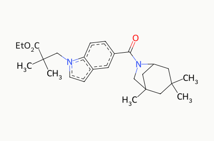 CCOC(=O)C(C)(C)Cn1ccc2cc(C(=O)N3CC4(C)CC3CC(C)(C)C4)ccc21